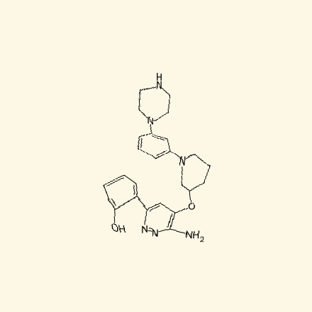 Nc1nnc(-c2ccccc2O)cc1OC1CCCN(c2cccc(N3CCNCC3)c2)C1